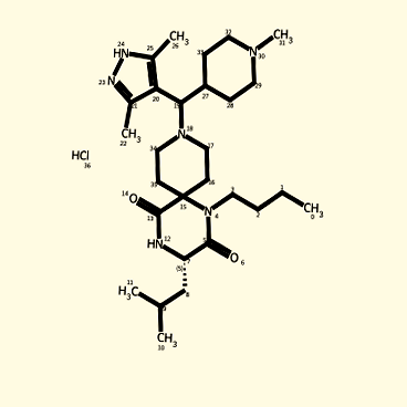 CCCCN1C(=O)[C@H](CC(C)C)NC(=O)C12CCN(C(c1c(C)n[nH]c1C)C1CCN(C)CC1)CC2.Cl